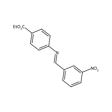 CCOC(=O)c1ccc(N=Cc2cccc([N+](=O)[O-])c2)cc1